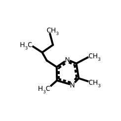 CCC(C)Cc1nc(C)c(C)nc1C